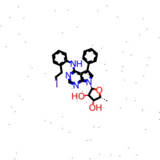 C[C@H]1O[C@@H](n2cc(-c3ccccc3)c3c(Nc4ccccc4CCI)ncnc32)[C@H](O)[C@@H]1O